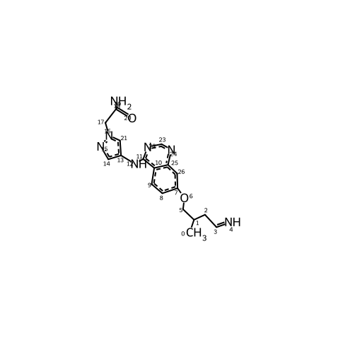 CC(CC=N)COc1ccc2c(Nc3cnn(CC(N)=O)c3)ncnc2c1